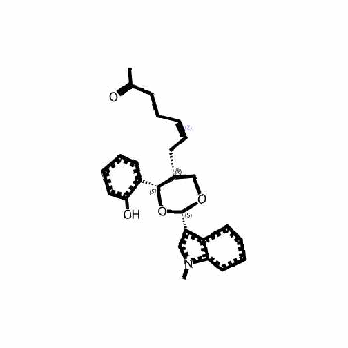 CC(=O)CC/C=C\C[C@@H]1CO[C@H](c2cn(C)c3ccccc23)O[C@@H]1c1ccccc1O